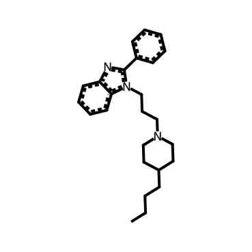 CCCCC1CCN(CCCn2c(-c3ccccc3)nc3ccccc32)CC1